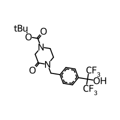 CC(C)(C)OC(=O)N1CCN(Cc2ccc(C(O)(C(F)(F)F)C(F)(F)F)cc2)C(=O)C1